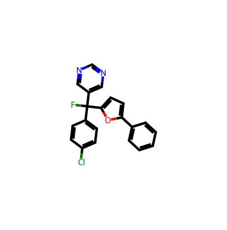 FC(c1ccc(Cl)cc1)(c1cncnc1)c1ccc(-c2ccccc2)o1